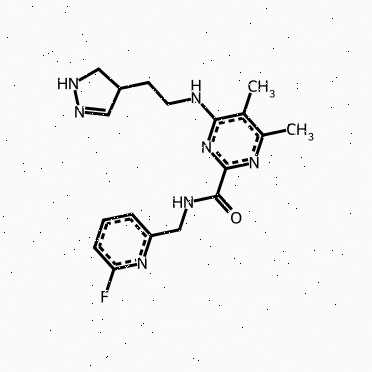 Cc1nc(C(=O)NCc2cccc(F)n2)nc(NCCC2C=NNC2)c1C